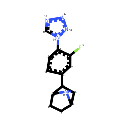 Fc1cc(C2CC3CCC2N3)ccc1-n1cnnn1